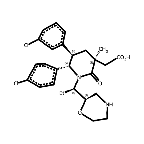 CC[C@H]([C@H]1CNCCO1)N1C(=O)[C@](C)(CC(=O)O)C[C@H](c2cccc(Cl)c2)[C@H]1c1ccc(Cl)cc1